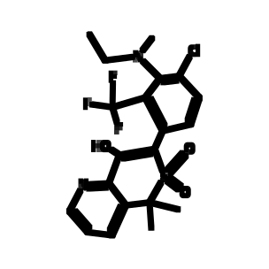 CCN(C)c1c(Cl)ccc(C2=C(O)c3ncccc3C(C)(C)S2(=O)=O)c1C(F)(F)F